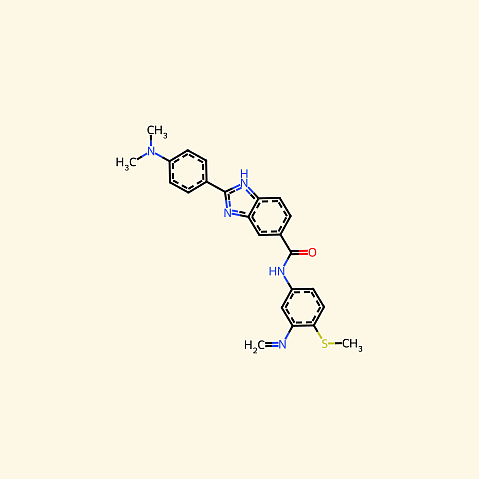 C=Nc1cc(NC(=O)c2ccc3[nH]c(-c4ccc(N(C)C)cc4)nc3c2)ccc1SC